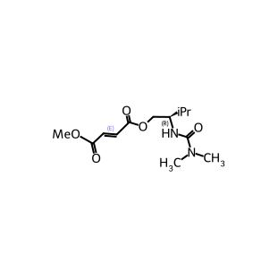 COC(=O)/C=C/C(=O)OC[C@H](NC(=O)N(C)C)C(C)C